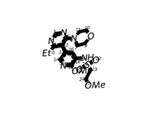 CCc1ncnc(N2CCOCC2)c1-c1cnc(OC)c(NS(=O)(=O)CCOC)c1